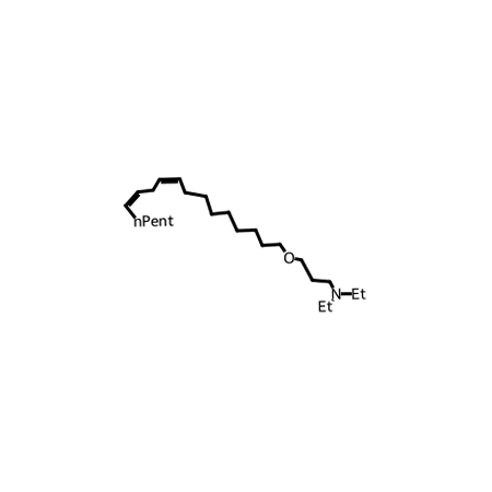 CCCCC/C=C\C/C=C\CCCCCCCCOCCCN(CC)CC